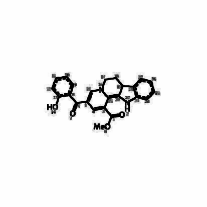 COC(=O)C1=CC(C(=O)c2ccccc2O)=CN2CCC3C(=C12)Nc1ccccc13